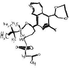 CC(C)(C)[Si](C)(C)OC(CNS(=O)(=O)NC(=O)O)c1cc(F)c(C2OCCO2)c2ccncc12